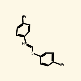 CC(C)c1ccc(SC=[SH]c2ccc(C(C)C)cc2)cc1